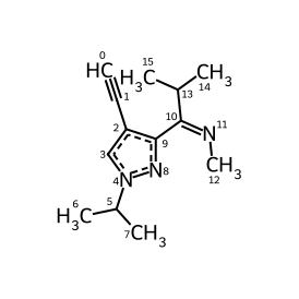 C#Cc1cn(C(C)C)nc1/C(=N\C)C(C)C